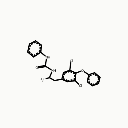 CC(Cc1cc(Cl)c(Oc2ccccc2)c(Cl)c1)NC(=O)Nc1ccccc1